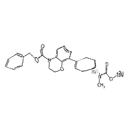 CN(C(=O)OC(C)(C)C)[C@@H]1CC=C(c2cccc3c2OCCN3C(=O)OCc2ccccc2)CC1